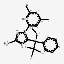 CO[C@](c1ccccc1)(c1nc(N)nn1-c1cc(C)nc(C)n1)C(F)(F)F